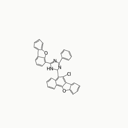 Clc1c(C2N=C(c3ccccc3)N=C(c3cccc4c3oc3ccccc34)N2)c2ccccc2c2oc3ccccc3c12